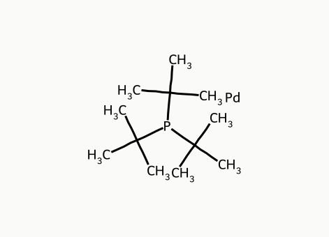 CC(C)(C)P(C(C)(C)C)C(C)(C)C.[Pd]